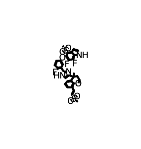 CC1(c2c[nH]c(-c3cc(Oc4c(F)c(F)c5[nH]ccc5c4S(C)(=O)=O)ccc3F)n2)CCOc2c(/C=C/S(C)(=O)=O)cccc21